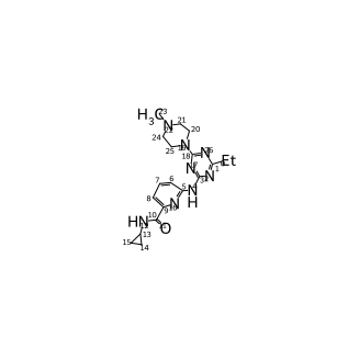 CCc1nc(Nc2cccc(C(=O)NC3CC3)n2)nc(N2CCN(C)CC2)n1